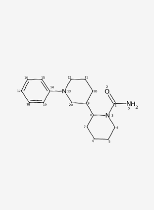 NC(=O)N1CCCCC1C1CCCN(c2ccccc2)C1